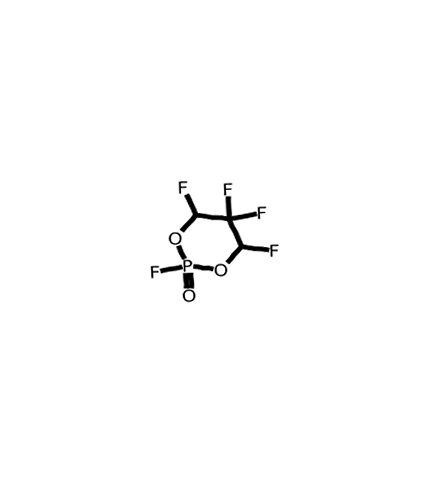 O=P1(F)OC(F)C(F)(F)C(F)O1